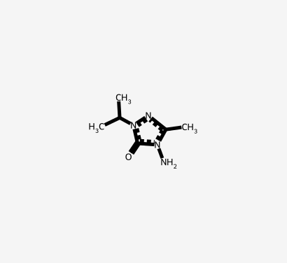 Cc1nn(C(C)C)c(=O)n1N